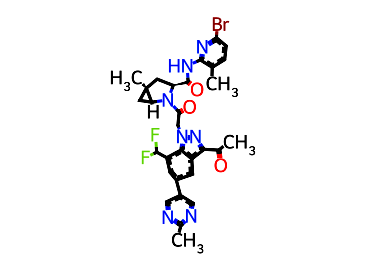 CC(=O)c1nn(CC(=O)N2[C@H](C(=O)Nc3nc(Br)ccc3C)C[C@@]3(C)C[C@@H]23)c2c(C(F)F)cc(-c3cnc(C)nc3)cc12